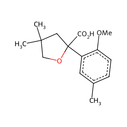 COc1ccc(C)cc1C1(C(=O)O)CC(C)(C)CO1